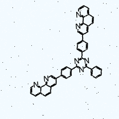 c1ccc(-c2nc(-c3ccc(-c4cnc5c(ccc6cccnc65)c4)cc3)nc(-c3ccc(-c4cnc5c(ccc6cccnc65)c4)cc3)n2)cc1